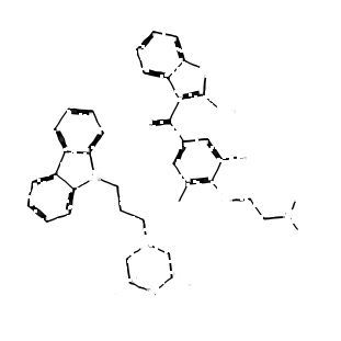 CCCCc1oc2ccccc2c1C(=O)c1cc(I)c(OCCN(CC)CC)c(I)c1.C[C@@H]1CN(CCCn2c3ccccc3c3ccccc32)C[C@H](C)N1